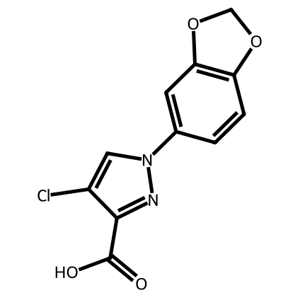 O=C(O)c1nn(-c2ccc3c(c2)OCO3)cc1Cl